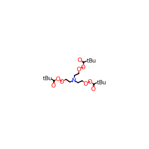 CC(C)(C)C(=O)OOCCN(CCOOC(=O)C(C)(C)C)CCOOC(=O)C(C)(C)C